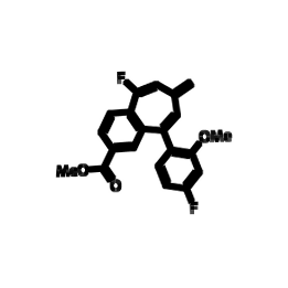 C=C1C=C(F)c2ccc(C(=O)OC)cc2C(c2ccc(F)cc2OC)=C1